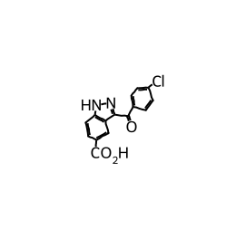 O=C(O)c1ccc2[nH]nc(C(=O)c3ccc(Cl)cc3)c2c1